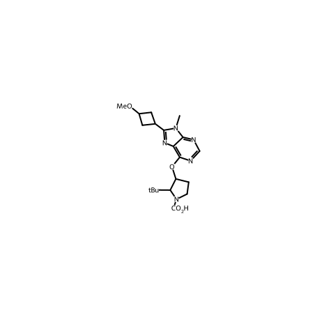 COC1CC(c2nc3c(OC4CCN(C(=O)O)C4C(C)(C)C)ncnc3n2C)C1